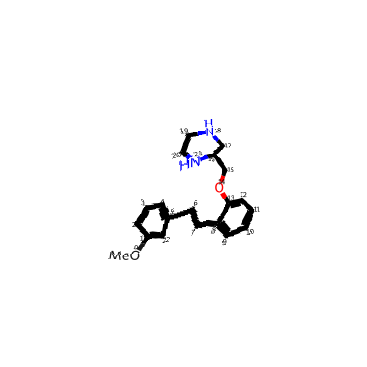 COc1cccc(CCc2ccccc2OCC2CNCCN2)c1